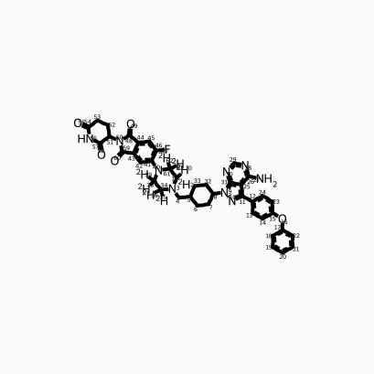 [2H]C1([2H])N(CC2CCC(n3nc(-c4ccc(Oc5ccccc5)cc4)c4c(N)ncnc43)CC2)C([2H])([2H])C([2H])([2H])N(c2cc3c(cc2F)C(=O)N(C2CCC(=O)NC2=O)C3=O)C1([2H])[2H]